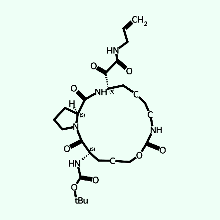 C=CCNC(=O)C(=O)[C@@H]1CCCCNC(=O)OCCC[C@H](NC(=O)OC(C)(C)C)C(=O)N2CCC[C@H]2C(=O)N1